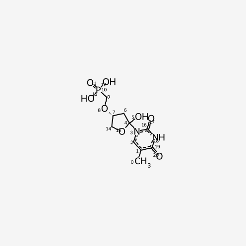 Cc1cn(C2(O)C[C@@H](OCP(=O)(O)O)CO2)c(=O)[nH]c1=O